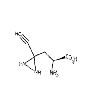 C#CC1(C[C@H](N)C(=O)O)NN1